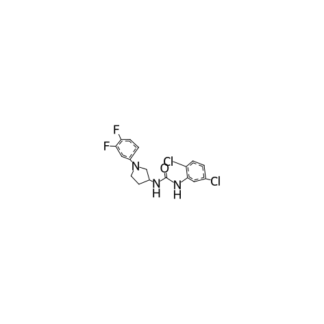 O=C(Nc1cc(Cl)ccc1Cl)NC1CCN(c2ccc(F)c(F)c2)C1